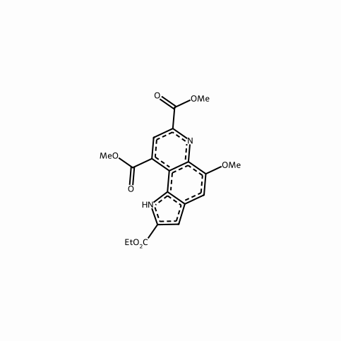 CCOC(=O)c1cc2cc(OC)c3nc(C(=O)OC)cc(C(=O)OC)c3c2[nH]1